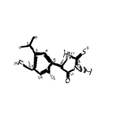 CC(C)c1cc(C2NC(=S)NC2=O)ccc1F